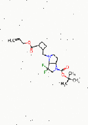 C=CCOC(=O)C1CCC1CN1CCC2C1C(F)(F)CN2C(=O)OC(C)(C)C